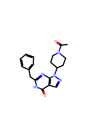 CC(=O)N1CCC(n2ncc3c(=O)[nH]c(Cc4ccccc4)nc32)CC1